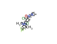 Cc1cc(C(F)(F)F)cc2c1nc(Cc1c(Cl)ccc(C(=O)N3CC(N4CCCC4)C3)c1Cl)n2C